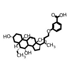 CC[C@H]1[C@@H](O)C2C3CC[C@H]([C@H](C)CCOc4cccc(C(=O)O)c4)[C@@]3(C)CCC2[C@@]2(C)CC[C@@H](O)C[C@@H]12